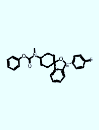 CN(C(=O)Oc1ccccc1)C1CCC2(CC1)O[C@H](c1ccc(F)cc1)c1ccccc12